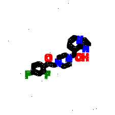 O=C(CN1CCN(C(O)c2cccn3ccnc23)CC1)c1ccc(F)cc1F